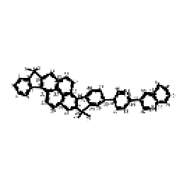 CC1(C)c2ccccc2-c2c1cc1ccc3c4c(cc5ccc2c1c53)C(C)(C)c1cc(-c2ccc(-c3cnc5ccccc5c3)nc2)ccc1-4